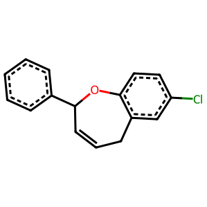 Clc1ccc2c(c1)CC=CC(c1ccccc1)O2